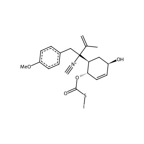 C#[N+]C(Cc1ccc(OC)cc1)(C(=C)C)[C@H]1C[C@@H](O)C=C[C@@H]1OC(=O)SI